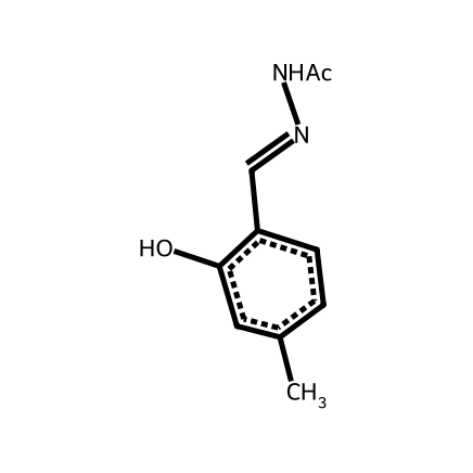 CC(=O)N/N=C/c1ccc(C)cc1O